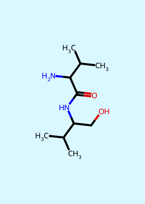 CC(C)C(CO)NC(=O)C(N)C(C)C